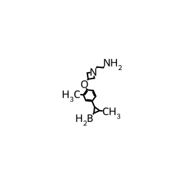 BC1C(C)C1c1ccc(OC2CN(CCN)C2)c(C)c1